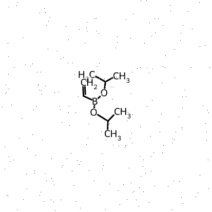 C=CB(OC(C)C)OC(C)C